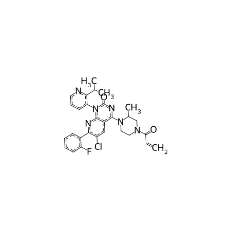 C=CC(=O)N1CCN(c2nc(=O)n(-c3cccnc3C(C)C)c3nc(-c4ccccc4F)c(Cl)cc23)C(C)C1